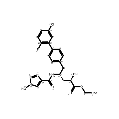 CC(=O)OCOC(=O)[C@H](O)C[C@@H](Cc1ccc(-c2cc(Cl)ccc2F)cc1)NC(=O)c1cn(O)nn1